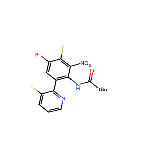 CC(C)(C)C(=O)Nc1c(-c2ncccc2F)cc(Br)c(F)c1[N+](=O)[O-]